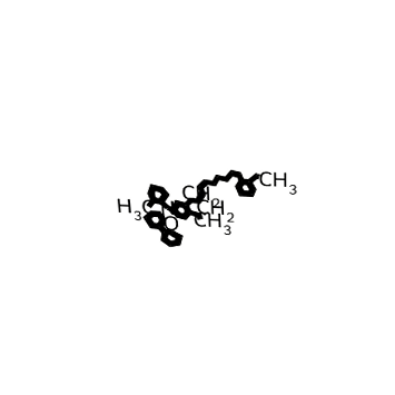 C=C(C)c1ccc(N(c2ccccc2C)c2cccc3c2oc2ccccc23)cc1C(=C)/C=C\C=C/CCC/C=C\c1ccccc1CC